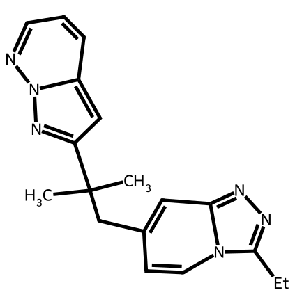 CCc1nnc2cc(CC(C)(C)c3cc4cccnn4n3)ccn12